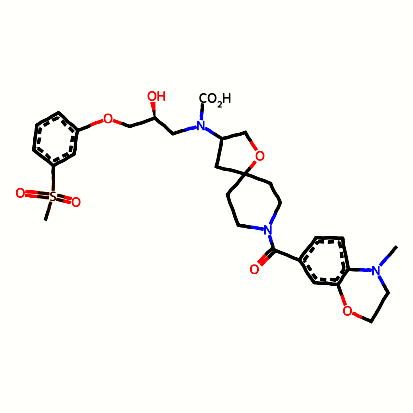 CN1CCOc2cc(C(=O)N3CCC4(CC3)CC(N(C[C@H](O)COc3cccc(S(C)(=O)=O)c3)C(=O)O)CO4)ccc21